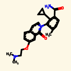 Cc1ccc(C(N)=O)c(C2CC2)c1-n1ccc2ccc(OCCN(C)C)cc2c1=O